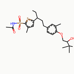 CCC(CCc1ccc(OCC(O)C(C)(C)C)c(C)c1)c1cc(C)c(S(=O)(=O)NC(C)=O)s1